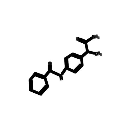 CC(C(N)=O)c1ccc(NC(=O)c2ccccc2)cc1